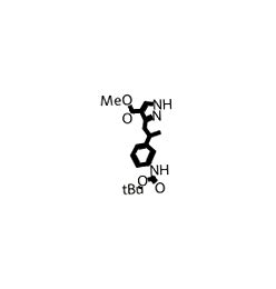 COC(=O)c1c[nH]nc1CC(C)c1cccc(NC(=O)OC(C)(C)C)c1